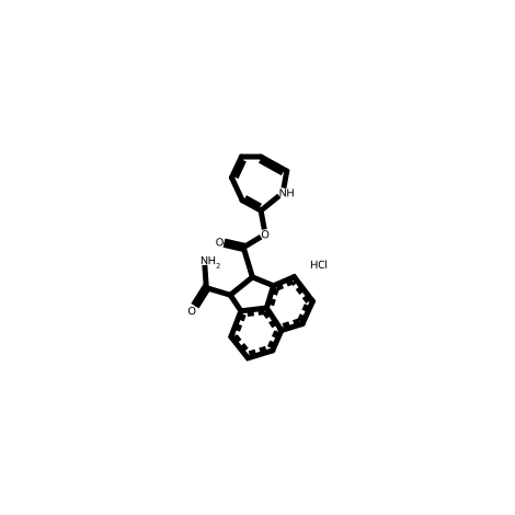 Cl.NC(=O)C1c2cccc3cccc(c23)C1C(=O)OC1=CC=CC=CN1